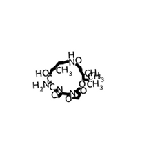 CC1=C\[C@@H](O)C[C@H](N)Cc2nc(co2)C(=O)N2CCC=C2C(=O)OC(C(C)C)[C@H](C)/C=C/C(=O)NC\C=C\1